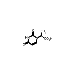 C[C@@H](C(=O)O)n1ccc(=O)[nH]c1=O